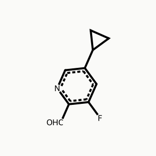 O=Cc1ncc(C2CC2)cc1F